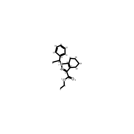 CCOC(=O)c1nn(C(C)c2ccccc2)c2c1CCCC2